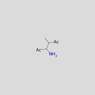 CC(=O)C(C)C(N)C(C)=O